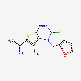 Cc1c([C@H](C)N)sc2c1N(Cc1ccco1)C(Cl)N=C2